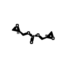 O=[N+](OC[C@H]1CO1)OC[C@H]1CO1